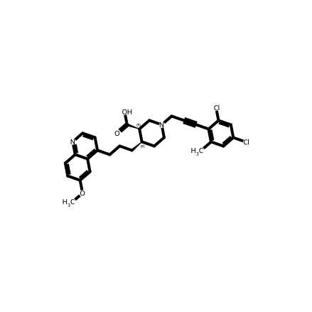 COc1ccc2nccc(CCC[C@@H]3CCN(CC#Cc4c(C)cc(Cl)cc4Cl)C[C@@H]3C(=O)O)c2c1